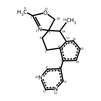 CC1=NC2(CCc3c(-c4cncnc4)cccc3C2C)CO1